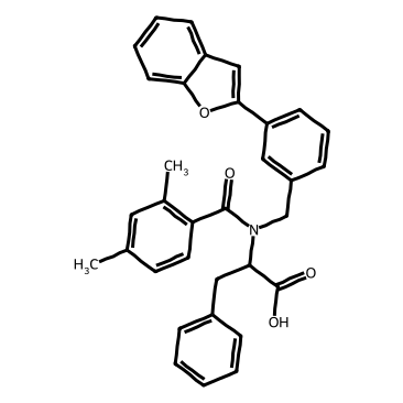 Cc1ccc(C(=O)N(Cc2cccc(-c3cc4ccccc4o3)c2)C(Cc2ccccc2)C(=O)O)c(C)c1